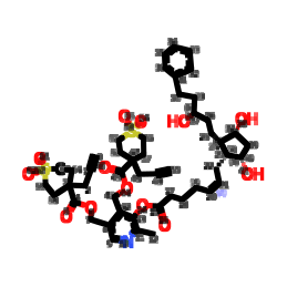 C#CCC1(C(=O)OCc2cnc(C)c(OC(=O)CCC/C=C\C[C@@H]3[C@@H](CC[C@@H](O)CCc4ccccc4)[C@H](O)C[C@@H]3O)c2COC(=O)C2(CC#C)CCS(=O)(=O)CC2)CCS(=O)(=O)CC1